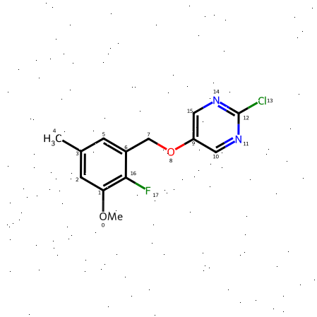 COc1cc(C)cc(COc2cnc(Cl)nc2)c1F